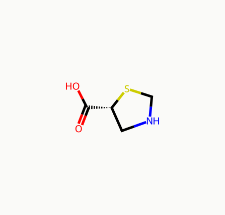 O=C(O)[C@H]1CNCS1